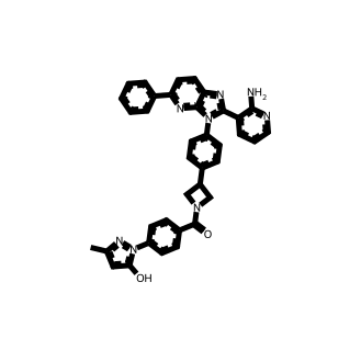 Cc1cc(O)n(-c2ccc(C(=O)N3CC(c4ccc(-n5c(-c6cccnc6N)nc6ccc(-c7ccccc7)nc65)cc4)C3)cc2)n1